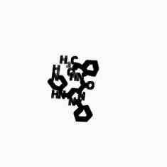 CC(=O)c1ccccc1NC(=O)c1cc(NC2CCNCC2)nc(-c2ccccc2)n1